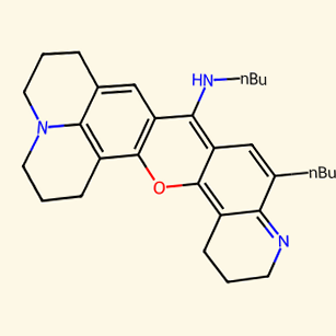 CCCCNC1=c2cc(CCCC)c3c(c2Oc2c1cc1c4c2CCCN4CCC1)CCCN=3